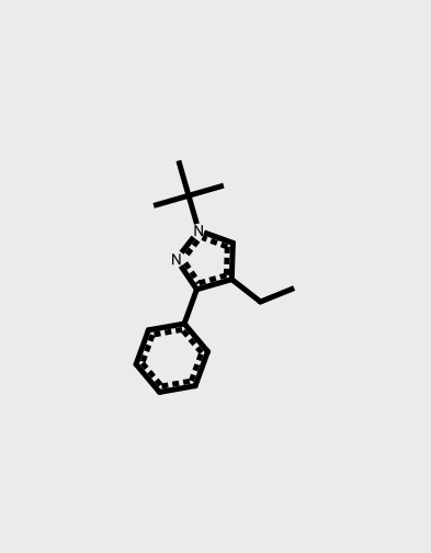 CCc1cn(C(C)(C)C)nc1-c1ccccc1